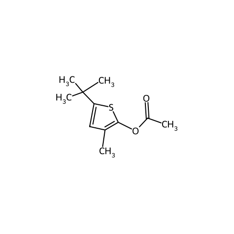 CC(=O)Oc1sc(C(C)(C)C)cc1C